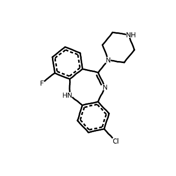 Fc1cccc2c1Nc1ccc(Cl)cc1N=C2N1CCNCC1